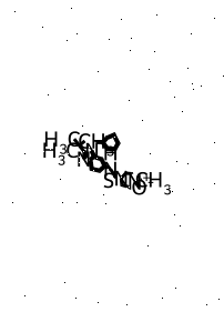 CC(C)(C)c1nc2ccc(NC(=S)N3CC[N+](C)([O-])CC3)cc2n1Cc1ccccc1